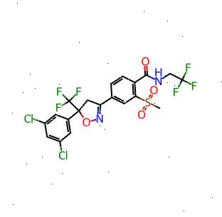 CS(=O)(=O)c1cc(C2=NOC(c3cc(Cl)cc(Cl)c3)(C(F)(F)F)C2)ccc1C(=O)NCC(F)(F)F